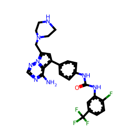 Nc1ncnn2c(CN3CCNCC3)cc(-c3ccc(NC(=O)Nc4cc(C(F)(F)F)ccc4F)cc3)c12